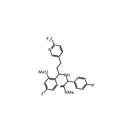 C=C(NC)C(NC(CCc1ccc(C(F)(F)F)nc1)c1ccc(F)cc1OC)c1ccc(F)cc1